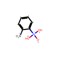 O=[N+]([O-])c1ccccc1[N+]([O-])(O)O